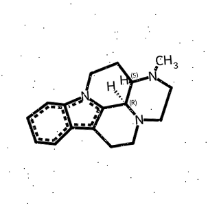 CN1CCN2CCc3c4n(c5ccccc35)CC[C@H]1[C@H]42